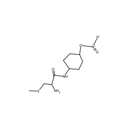 CSCC(N)C(=O)NC1CCC(O[N+](=O)[O-])CC1